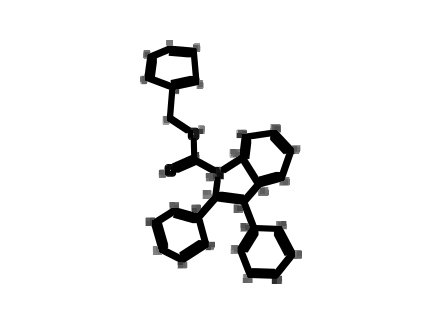 O=C(OCc1ccccc1)n1c(-c2ccccc2)c(-c2ccccc2)c2ccccc21